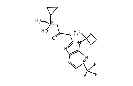 CC1(n2c(NC(=O)C[C@](C)(O)C3CC3)nc3ccc(C(F)(F)F)nc32)CCC1